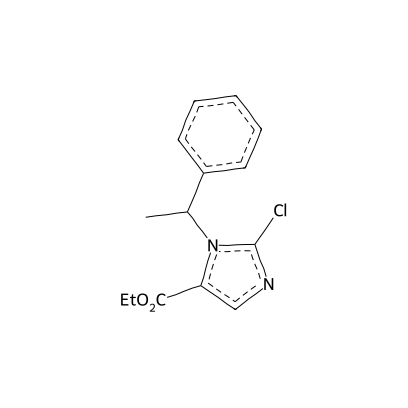 CCOC(=O)c1cnc(Cl)n1C(C)c1ccccc1